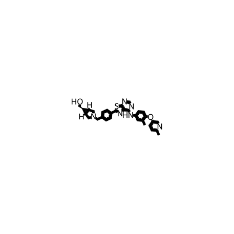 Cc1ccc(Oc2ccc(Nc3ncnc4sc(-c5ccc(CN6C[C@@H]7[C@@H](CO)[C@@H]7C6)cc5)nc34)cc2C)cn1